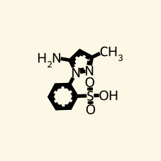 Cc1cc(N)n(-c2ccccc2S(=O)(=O)O)n1